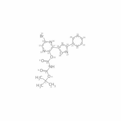 CC(C)(C)OC(=O)NC(=O)Oc1ncc(Br)nc1-c1cc(-c2ccccc2)no1